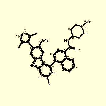 COc1cc2c(cc1-c1c(C)noc1C)[nH]c1nc(C)nc(-c3ccc(C(=O)NC4CCN(C(C)C)CC4)c4ccccc34)c12